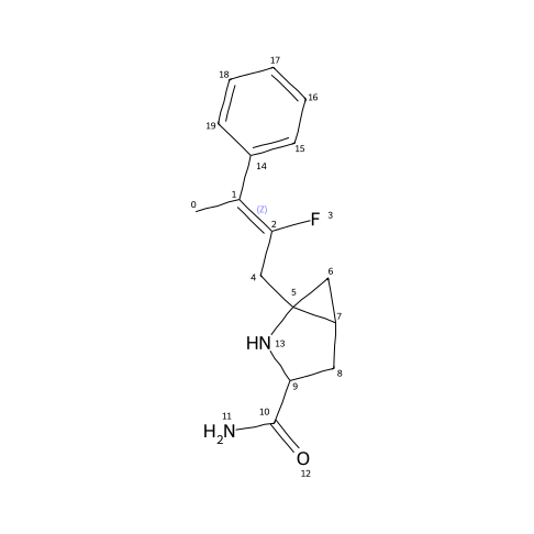 C/C(=C(/F)CC12CC1CC(C(N)=O)N2)c1ccccc1